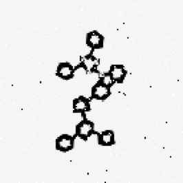 c1ccc(-c2cc(-c3ccccc3)cc(-c3cccc(-c4ccc5c6ccccc6n(-c6nc(-c7ccccc7)nc(-c7ccccc7)n6)c5c4)c3)c2)cc1